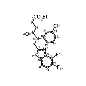 CCOC(=O)CCC(=O)N(Cc1nc2c(F)c(F)ccc2s1)c1cccc(Cl)c1